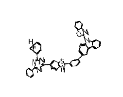 C1=C[C@@H]2CC2C(c2nc(-c3ccccc3)nc(-c3ccc4nc(-c5cccc(-c6ccc7c(c6)c6ccccc6n7-c6nc7ccccc7o6)c5)sc4c3)n2)=C1